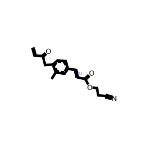 C=CC(=O)Cc1ccc(/C=C/C(=O)OCCC#N)cc1C